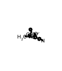 C=CC[C@@H]1C[C@@H](COc2ccc(-c3ccc(C#N)cc3)cc2[N+](=O)[O-])N(CCCc2ccccc2)C1=O